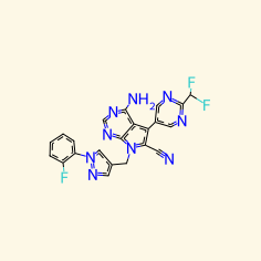 N#Cc1c(-c2cnc(C(F)F)nc2)c2c(N)ncnc2n1Cc1cnn(-c2ccccc2F)c1